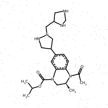 CC(=O)N1c2ccc(C3CNN(CC4CNCN4)C3)cc2N(C(=O)OC(C)C)C[C@@H]1C